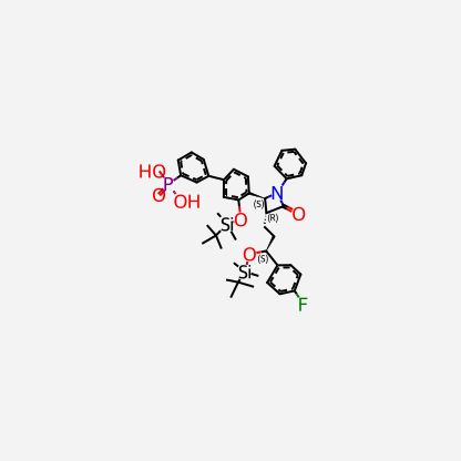 CC(C)(C)[Si](C)(C)Oc1cc(-c2cccc(P(=O)(O)O)c2)ccc1[C@@H]1[C@@H](CC[C@H](O[Si](C)(C)C(C)(C)C)c2ccc(F)cc2)C(=O)N1c1ccccc1